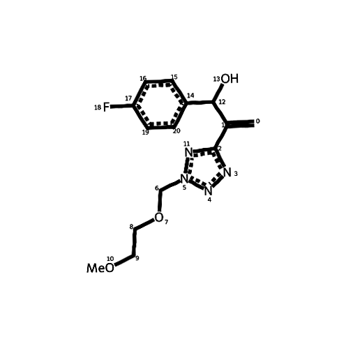 C=C(c1nnn(COCCOC)n1)C(O)c1ccc(F)cc1